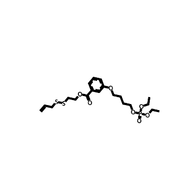 C=CCSSCCOC(=O)c1cccc(OCCCCOP(=O)(OCC)OCC)c1